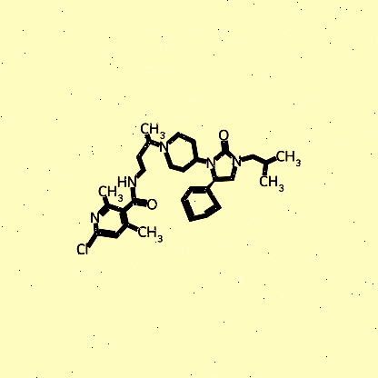 Cc1cc(Cl)nc(C)c1C(=O)NCCC(C)N1CCC(N2C(=O)N(CC(C)C)C[C@H]2c2ccccc2)CC1